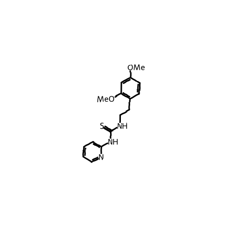 COc1ccc(CCNC(=S)Nc2ccccn2)c(OC)c1